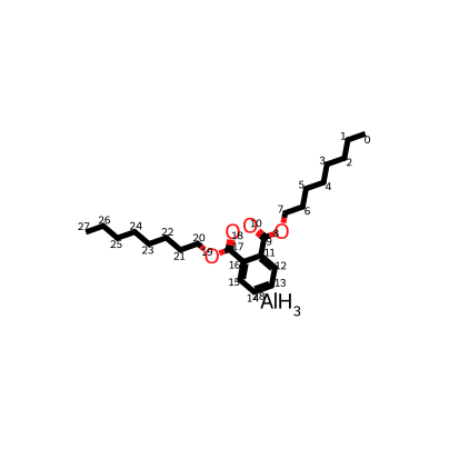 CCCCCCCCOC(=O)c1ccccc1C(=O)OCCCCCCCC.[AlH3]